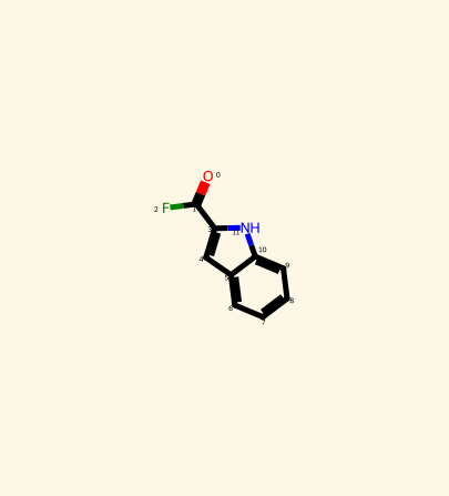 O=C(F)c1cc2ccccc2[nH]1